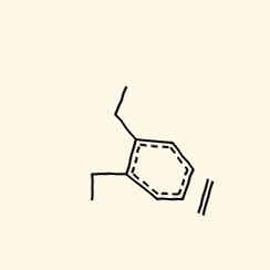 C=C.CCc1ccccc1CC